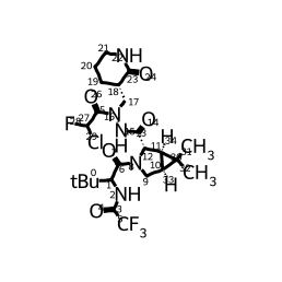 CC(C)(C)C(NC(=O)C(F)(F)F)C(=O)N1C[C@H]2[C@@H]([C@H]1C(=O)NN(C[C@@H]1CCCNC1=O)C(=O)C(F)Cl)C2(C)C